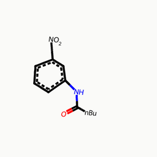 CCCCC(=O)Nc1cccc([N+](=O)[O-])c1